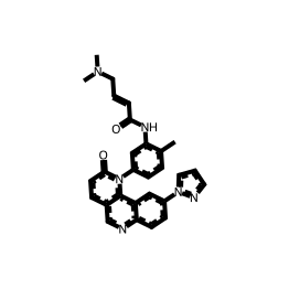 Cc1ccc(-n2c(=O)ccc3cnc4ccc(-n5cccn5)cc4c32)cc1NC(=O)/C=C/CN(C)C